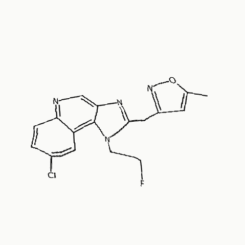 Cc1cc(Cc2nc3cnc4ccc(Cl)cc4c3n2CCF)no1